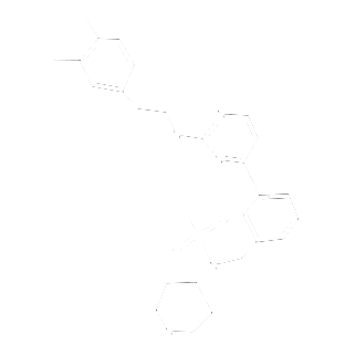 CS(=O)(=O)N(Cc1cccc(-c2ccnc(NCCc3ccc(O)c(F)c3)n2)c1)C1CCNCC1